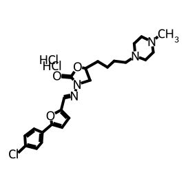 CN1CCN(CCCCC2CN(/N=C/c3ccc(-c4ccc(Cl)cc4)o3)C(=O)O2)CC1.Cl.Cl